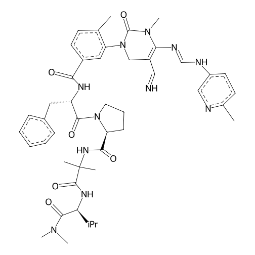 Cc1ccc(N/C=N/C2=C(C=N)CN(c3cc(C(=O)N[C@@H](Cc4ccccc4)C(=O)N4CCC[C@H]4C(=O)NC(C)(C)C(=O)N[C@H](C(=O)N(C)C)C(C)C)ccc3C)C(=O)N2C)cn1